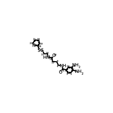 Nc1ccc(C(=O)NCCCC(=O)NCCSSc2ccccn2)cc1N